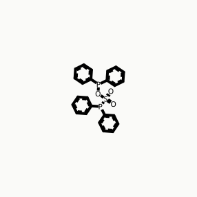 O=S(=O)(OP(c1ccccc1)c1ccccc1)P(c1ccccc1)c1ccccc1